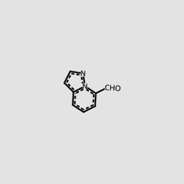 O=Cc1cccc2ccnn12